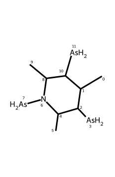 CC1C([AsH2])C(C)N([AsH2])C(C)C1[AsH2]